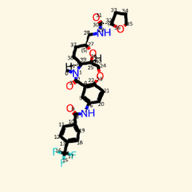 CN1C(=O)c2cc(NC(=O)c3ccc(C(F)(F)F)cc3)ccc2OC[C@@H]2O[C@H](CNC(=O)[C@@H]3CCCO3)CC[C@@H]21